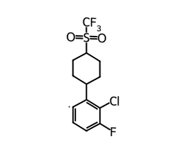 O=S(=O)(C1CCC(c2[c]ccc(F)c2Cl)CC1)C(F)(F)F